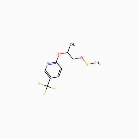 CSOCC(C)Oc1ccc(C(F)(F)F)cn1